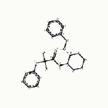 CC(C)(Sc1ccccc1)C(=O)N[C@@H]1CCCC[C@H]1OCc1ccccc1